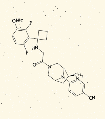 COc1ccc(F)c(C2(NCC(=O)N3CC4C[C@H](C)C(C3)N4c3ccc(C#N)cn3)CCC2)c1F